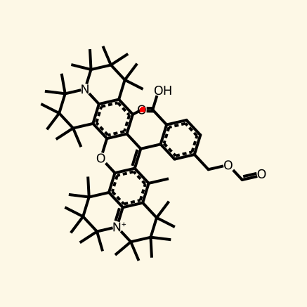 Cc1c2c(c3c4c1C(C)(C)C(C)(C)C(C)(C)N4C(C)(C)C(C)(C)C3(C)C)Oc1c3c4c(c(C)c1=C2c1cc(COC=O)ccc1C(=O)O)C(C)(C)C(C)(C)C(C)(C)[N+]=4C(C)(C)C(C)(C)C3(C)C